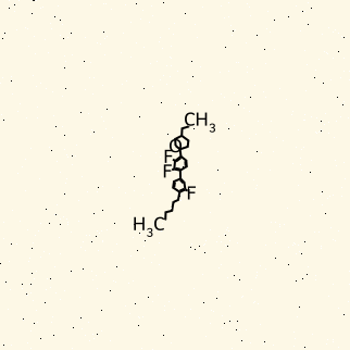 CCCCCCc1ccc(-c2ccc(C3CCC(CCC)CO3)c(F)c2F)cc1F